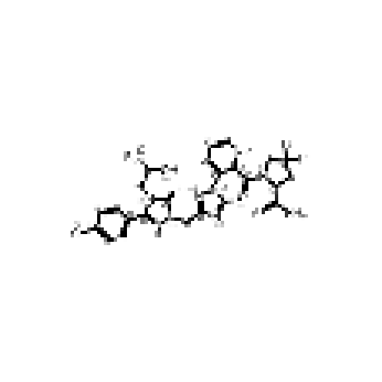 NC(=O)[C@@H]1CC(F)(F)CN1C(=O)c1ncccc1-n1cnc(Cn2nc(-c3ccc(Cl)cc3)n(CC(O)C(F)(F)F)c2=O)n1